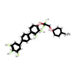 CCCC1CCC(OCC(F)(F)Oc2ccc(-c3ccc(-c4cc(F)c(F)c(F)c4)cc3)c(F)c2F)CC1